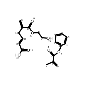 C=C(C)C(=O)Oc1ccccc1.C=C(CC=CC(=O)O)C(=O)OCCO